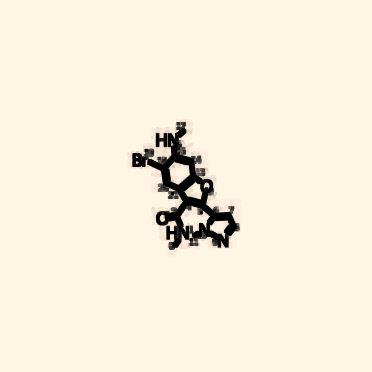 CNC(=O)c1c(-c2ccnn2C)oc2cc(NC)c(Br)cc12